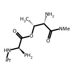 CNC(=O)[C@@H](N)[C@@H](C)OC(=O)[C@@H](P)NC(C)C